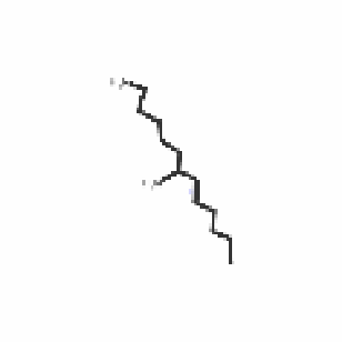 CCCC/C=C/C(N)CCCCCN